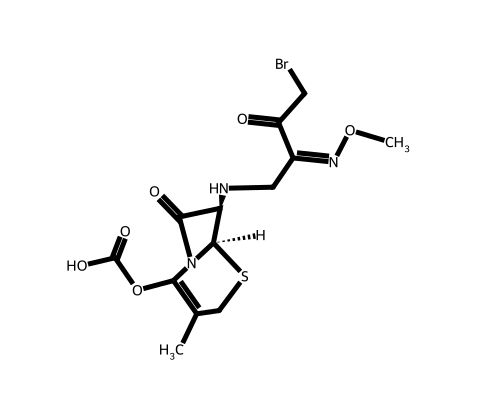 CO/N=C(/CN[C@@H]1C(=O)N2C(OC(=O)O)=C(C)CS[C@H]12)C(=O)CBr